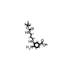 COC(=O)c1ccc(N)c(NCCCNC(=O)OC(C)(C)C)c1